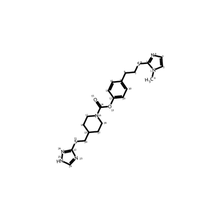 Cn1ccnc1SCCc1ccc(OC(=O)N2CCC(CSc3nc[nH]n3)CC2)cc1